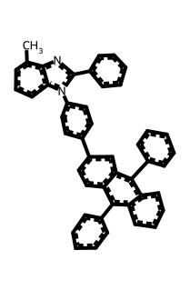 Cc1cccc2c1nc(-c1ccccc1)n2-c1ccc(-c2ccc3c(-c4ccccc4)c4ccccc4c(-c4ccccc4)c3c2)cc1